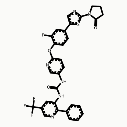 O=C(Nc1ccc(Oc2ccc(-c3cnc(N4CCCC4=O)s3)cc2F)nc1)Nc1cc(C(F)(F)F)cnc1-c1ccccc1